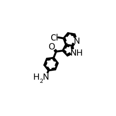 Nc1ccc(C(=O)c2c[nH]c3nccc(Cl)c23)cc1